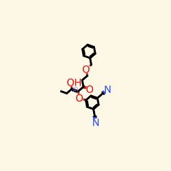 CC/C(O)=C(\Oc1cc(C#N)cc(C#N)c1)C(=O)CCOCc1ccccc1